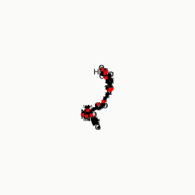 COCc1ccc(NC(=O)c2c(C#CC3CCN(C(=O)CCCCCCN4CCN(c5ccc6c(c5)CN(C5CCC(=O)NC5=O)C6=O)CC4)CC3)c(C(C)C)n3ncnc(N)c23)cc1